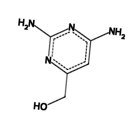 Nc1cc(CO)nc(N)n1